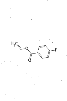 C=COC(=O)c1ccc(F)cc1